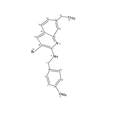 COc1ccc(CNc2nc3cc(CC=O)ccc3cc2Br)cc1